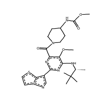 COC(=O)NC1CCN(C(=O)c2nc(-c3cnn4ccsc34)nc(N[C@H](C)C(C)(C)C)c2OC)CC1